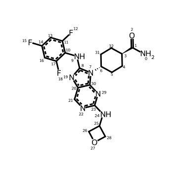 NC(=O)[C@H]1CC[C@H](n2c(Nc3c(F)cc(F)cc3F)nc3cnc(NC4COC4)nc32)CC1